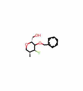 C[C@H]1CO[C@H](CO)C(OCc2ccccc2)[C@H]1F